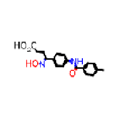 Cc1ccc(C(=O)Nc2ccc(C(CCC(=O)O)=NO)cc2)cc1